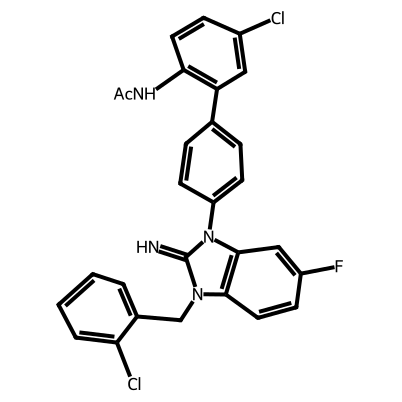 CC(=O)Nc1ccc(Cl)cc1-c1ccc(-n2c(=N)n(Cc3ccccc3Cl)c3ccc(F)cc32)cc1